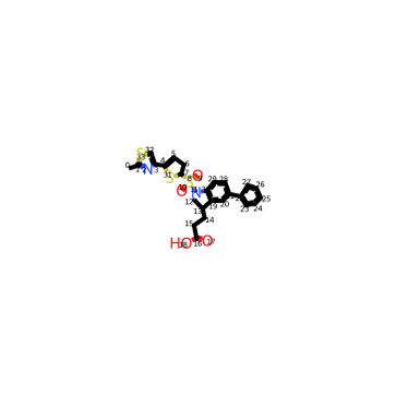 Cc1nc(C2=CCC(S(=O)(=O)N3CC(CCC(=O)O)c4cc(-c5ccccc5)ccc43)S2)cs1